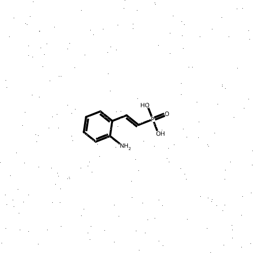 Nc1ccccc1C=CP(=O)(O)O